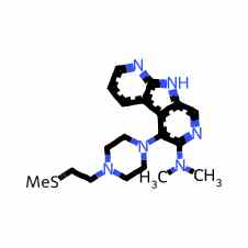 CSCCN1CCN(c2c(N(C)C)ncc3[nH]c4ncccc4c23)CC1